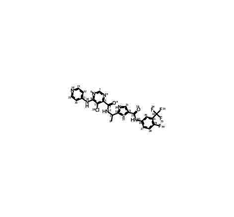 CC(NC(=O)c1ncnc(Nc2ccncc2)c1Cl)c1ncc(C(=O)Nc2ccc(F)c(C(F)(F)F)c2)s1